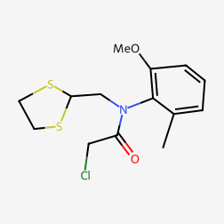 COc1cccc(C)c1N(CC1SCCS1)C(=O)CCl